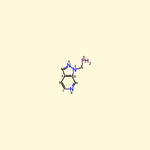 PCn1ncc2ccncc21